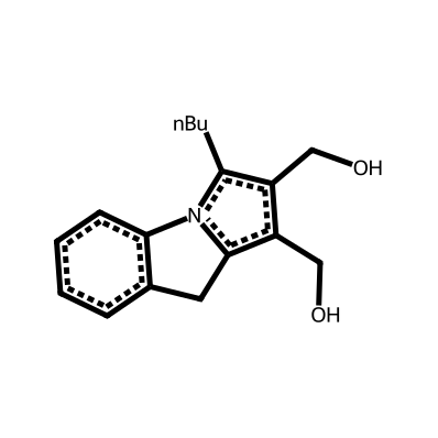 CCCCc1c(CO)c(CO)c2n1-c1ccccc1C2